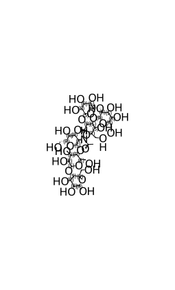 CC(=O)N[C@H]1[C@H](O[C@@H]2[C@H](O)[C@@H](O)[C@H](O[C@H]3[C@H](O)[C@@H](O)[C@H](O)O[C@@H]3CO)O[C@@H]2CO)O[C@H](CO)[C@H](O)[C@@H]1O[C@@H]1O[C@H](CO)[C@H](O)[C@H](O[C@H]2O[C@H](CO)[C@H](O)[C@H](O)[C@H]2O)[C@H]1O[C@@H]1O[C@@H](C)[C@@H](O)[C@@H](O)[C@@H]1O